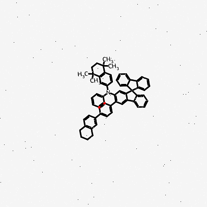 CC1(C)CCC(C)(C)c2cc(N(c3ccccc3)c3cc4c(cc3-c3ccc(-c5ccc6c(c5)CCCC6)cc3)-c3ccccc3C43c4ccccc4-c4ccccc43)ccc21